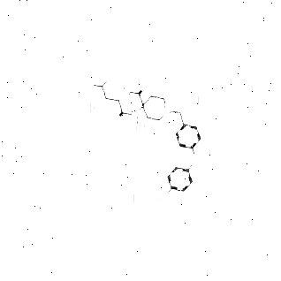 CCCCN1C(=O)[C@@H]([C@H](O)C(CC)CC)NC(=O)C12CCN(Cc1ccc(Sc3ccc(C(=O)O)cc3)cc1)CC2.Cl